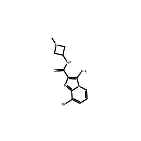 CN1CC(NC(=O)c2nc3c(Br)cccn3c2N)C1